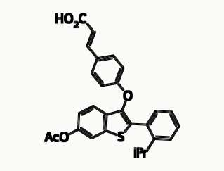 CC(=O)Oc1ccc2c(Oc3ccc(C=CC(=O)O)cc3)c(-c3ccccc3C(C)C)sc2c1